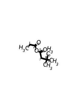 CCC(=O)OC(=O)CC(C)(C)C